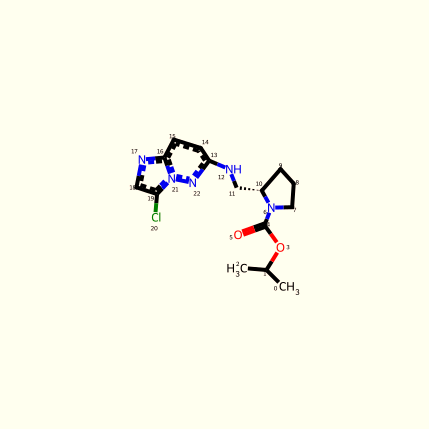 CC(C)OC(=O)N1CCC[C@H]1CNc1ccc2ncc(Cl)n2n1